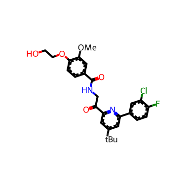 COc1cc(C(=O)NCC(=O)c2cc(C(C)(C)C)cc(-c3ccc(F)c(Cl)c3)n2)ccc1OCCO